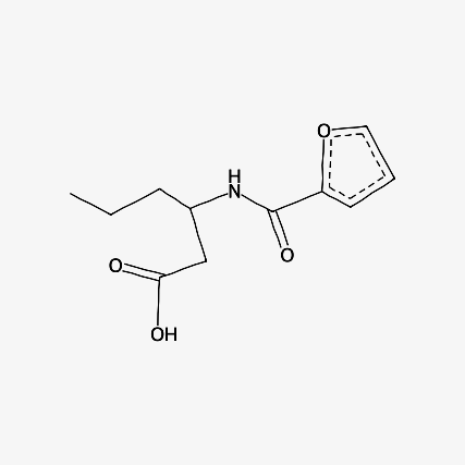 CCCC(CC(=O)O)NC(=O)c1ccco1